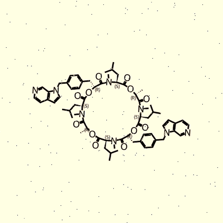 CC(C)C[C@H]1C(=O)O[C@H](Cc2ccc(Cn3ccc4ccncc43)cc2)C(=O)N(C)[C@@H](CC(C)C)C(=O)O[C@H](C)C(=O)N(C)[C@@H](CC(C)C)C(=O)O[C@H](Cc2ccc(Cn3ccc4ccncc43)cc2)C(=O)N(C)[C@@H](CC(C)C)C(=O)O[C@H](C)C(=O)N1C